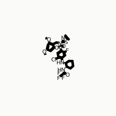 COc1ccc(CN(c2nccs2)S(=O)(=O)c2cc(Cl)c(N[C@H]3CCCC[C@@H]3NC(=O)C(F)(F)F)cc2F)c(OC)c1